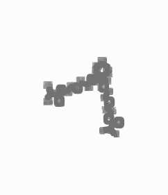 C=C(C)C(=O)OCCOCCOCC1(COCCOCCOC(=O)C(=C)C)CCCCC1